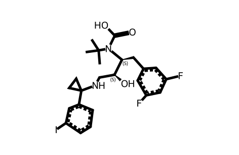 CC(C)(C)N(C(=O)O)[C@@H](Cc1cc(F)cc(F)c1)[C@@H](O)CNC1(c2cccc(I)c2)CC1